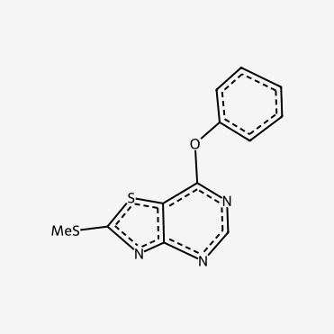 CSc1nc2ncnc(Oc3ccccc3)c2s1